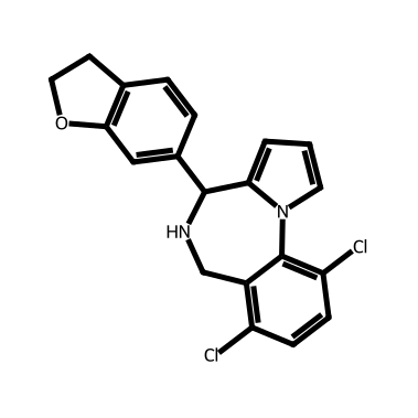 Clc1ccc(Cl)c2c1CNC(c1ccc3c(c1)OCC3)c1cccn1-2